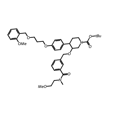 COCCN(C)C(=O)c1cccc(COC2CN(C(=O)OC(C)(C)C)CCC2c2ccc(OCCCOCc3ccccc3OC)cc2)c1